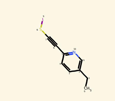 CCc1ccc(C#CSI)nc1